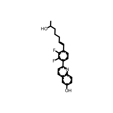 CC(O)CCC/C=C/c1ccc(-c2ccc3cc(O)ccc3n2)c(F)c1F